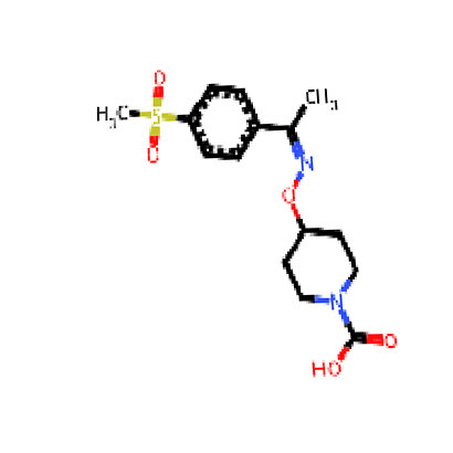 CC(=NOC1CCN(C(=O)O)CC1)c1ccc(S(C)(=O)=O)cc1